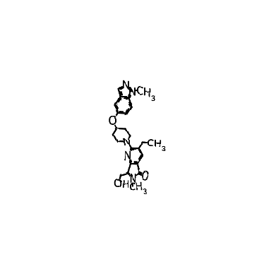 CCc1cc2c(nc1N1CCC(Oc3ccc4c(cnn4C)c3)CC1)C(CO)N(C)C2=O